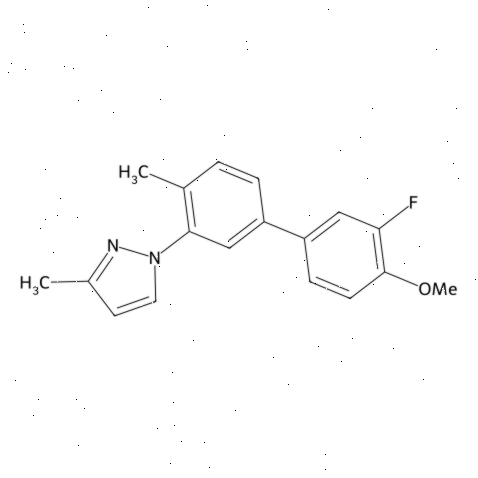 COc1ccc(-c2ccc(C)c(-n3ccc(C)n3)c2)cc1F